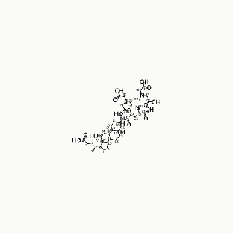 CC(CCC(=O)O)[C@H]1CCC2C3CC[C@@H]4C[C@H](NC(=O)CC[C@@H](C(=O)O)N(CCN(CC(=O)O)CC(=O)O)CCN(CC(=O)O)CC(=O)O)CC[C@]4(C)C3C[C@H](O)[C@@]21C